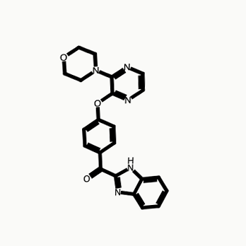 O=C(c1ccc(Oc2nccnc2N2CCOCC2)cc1)c1nc2ccccc2[nH]1